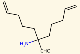 C=CCCCC(N)(C=O)CCCC=C